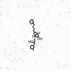 Cc1cccc(C[C@@H](O)/C=C/[C@@H]2[C@H]3CC(CCCCc4ccccn4)=C[C@H]3C[C@H]2O)c1